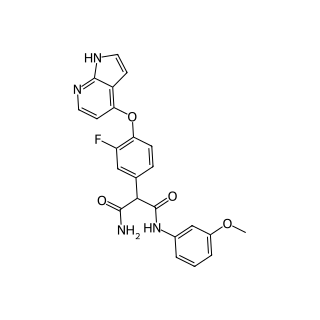 COc1cccc(NC(=O)C(C(N)=O)c2ccc(Oc3ccnc4[nH]ccc34)c(F)c2)c1